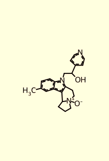 Cc1ccc2c(c1)c1c(n2CC(O)c2ccncc2)CC[N+]2([O-])CCCC12